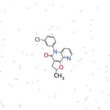 CC1Cc2c(c3ncccc3n(-c3cccc(Cl)c3)c2=O)O1